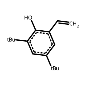 C=Cc1cc(C(C)(C)C)cc(C(C)(C)C)c1O